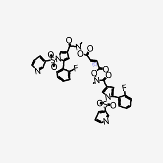 CN(OC(=O)/C=C/C(=O)ON(C)C(=O)c1cc(-c2ccccc2F)n(S(=O)(=O)c2cccnc2)c1)C(=O)c1cc(-c2ccccc2F)n(S(=O)(=O)c2cccnc2)c1